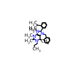 C=C1C2=C(N(C)C(=C)N1CCC)N(C)C(c1ccccc1C(C)C)N2Cc1ccccc1